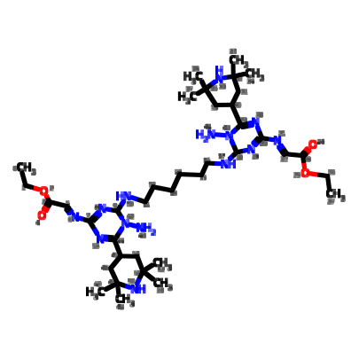 CCOC(=O)C=NC1=NC(NCCCCCCNC2N=C(N=CC(=O)OCC)N=C(C3CC(C)(C)NC(C)(C)C3)N2N)N(N)C(C2CC(C)(C)NC(C)(C)C2)=N1